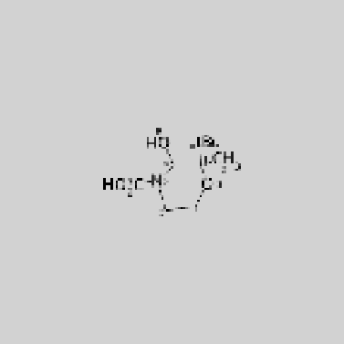 CC(C)(C)C1(C)OCCN(C(=O)O)C1O